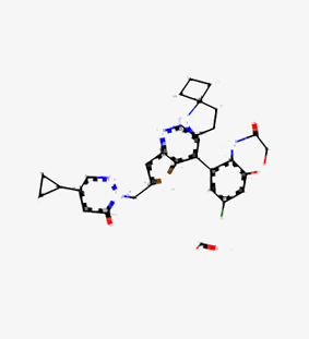 O=C1COc2cc(Cl)cc(-c3ccnc4cc(Cn5ncc(C6CC6)cc5=O)sc34)c2N1[C@@H]1CNC2(CCC2)C1.O=CO